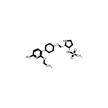 CCOc1nc(O)ccc1[C@H]1CC[C@@H](OC[C@@H]2NCC[C@@H]2NS(C)(=O)=O)CC1